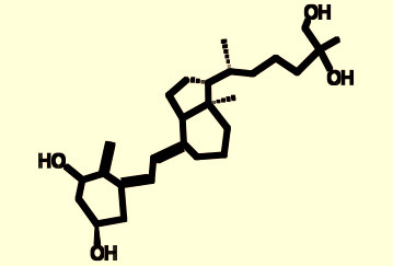 C=C1/C(=C\C=C2/CCC[C@@]3(C)C2CC[C@@H]3[C@H](C)CCCC(C)(O)CO)C[C@@H](O)CC1O